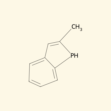 Cc1cc2ccccc2[pH]1